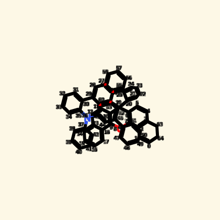 C1=Cc2c(ccc3c2Oc2c(ccc4ccccc24)C32c3ccccc3-c3ccc(-c4ccccc4N(c4ccccc4)c4cc(-c5ccccc5)cc(-c5ccccc5)c4)cc32)CC1